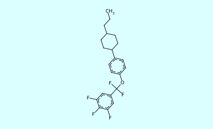 CCCC1CCC(c2ccc(OC(F)(F)c3cc(F)c(F)c(F)c3)cc2)CC1